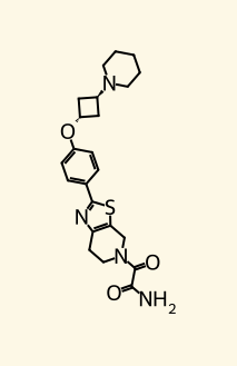 NC(=O)C(=O)N1CCc2nc(-c3ccc(O[C@H]4C[C@H](N5CCCCC5)C4)cc3)sc2C1